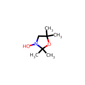 CC1(C)CN(O)C(C)(C)O1